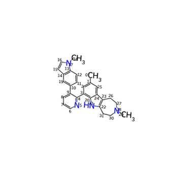 Cc1cc(-c2ncccc2-c2ccc3c(ccn3C)c2)c2[nH]c3c(c2c1)CCN(C)CC3